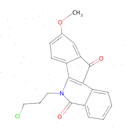 COc1ccc2c(c1)C(=O)c1c-2n(CCCCl)c(=O)c2ccccc12